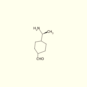 C[C@H](N)C1CCC(C=O)CC1